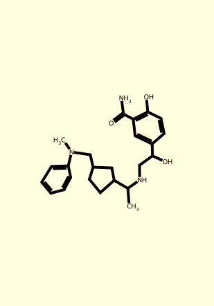 CC(NCC(O)c1ccc(O)c(C(N)=O)c1)C1CCC(CN(C)c2ccccc2)C1